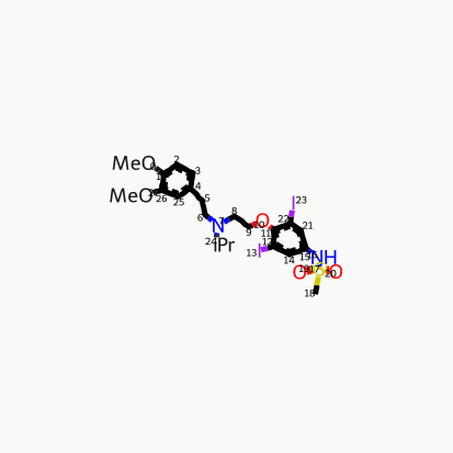 COc1ccc(CCN(CCOc2c(I)cc(NS(C)(=O)=O)cc2I)C(C)C)cc1OC